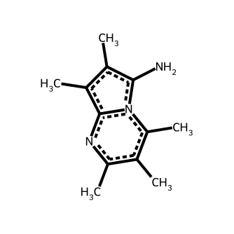 Cc1nc2c(C)c(C)c(N)n2c(C)c1C